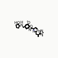 C=C/C(=N\C(F)CC(=C)c1nncn1C)c1nc2cc(CN[C@@H]3CCC[C@@H]3O)cc(OC)c2o1